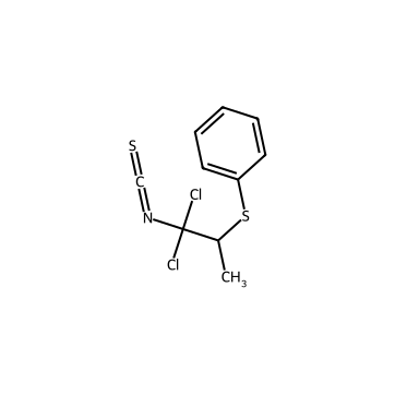 CC(Sc1ccccc1)C(Cl)(Cl)N=C=S